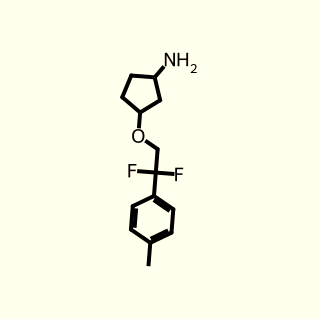 Cc1ccc(C(F)(F)COC2CCC(N)C2)cc1